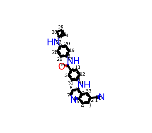 N#Cc1ccc2nccc(Nc3ccc(C(=O)Nc4ccc(NC56CC(C5)C6)cc4)cc3)c2c1